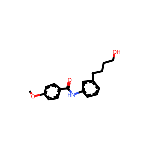 COc1ccc(C(=O)Nc2cccc([CH]CCCO)c2)cc1